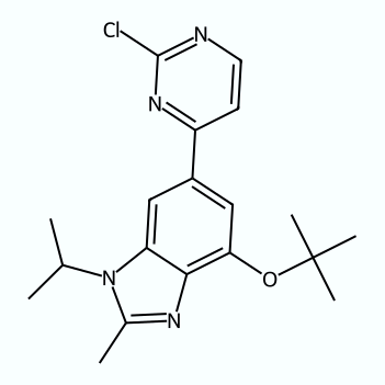 Cc1nc2c(OC(C)(C)C)cc(-c3ccnc(Cl)n3)cc2n1C(C)C